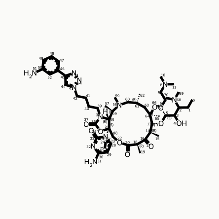 CCC(C(O)[C@@H](OCCN(C)C)O[C@@H]1[C@@H](C)C(=O)[C@@H](C)C(=O)O[C@H](CC)[C@@]2(n3ccc(N)nc3=O)OC(=O)N(CCCCn3cc(-c4cccc(N)c4)nn3)[C@@H]2[C@@H](C)N(C)C[C@H](C)C[C@@]1(C)OC)N(C)C